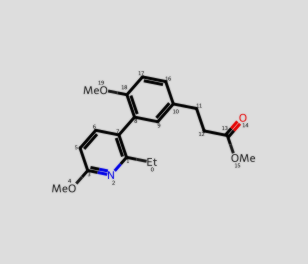 CCc1nc(OC)ccc1-c1cc(CCC(=O)OC)ccc1OC